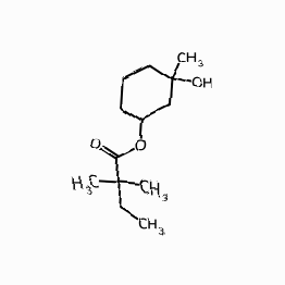 CCC(C)(C)C(=O)OC1CCCC(C)(O)C1